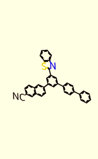 N#Cc1ccc2cc(-c3cc(-c4ccc(-c5ccccc5)cc4)cc(-c4nc5ccccc5s4)c3)ccc2c1